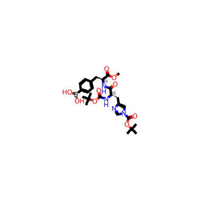 COC(=O)[C@H](Cc1ccc(B(O)O)cc1)NC(=O)[C@H](Cc1cn(C(=O)OC(C)(C)C)cn1)NC(=O)OC(C)(C)C